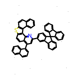 c1ccc2c(c1)-c1ccccc1C21c2ccccc2-c2cc(-c3cc(-c4cccc5ccccc45)c4ccc5sc6ccc7ccccc7c6c5c4n3)ccc21